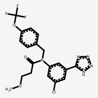 COCCC(=O)N(Cc1ccc(OC(F)(F)F)cc1)c1cc(Cl)cc(-c2nnn[nH]2)c1